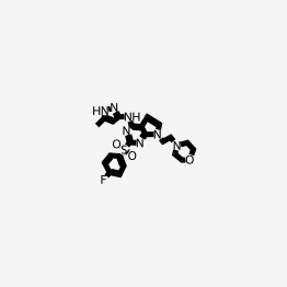 Cc1cc(Nc2nc(S(=O)(=O)c3ccc(F)cc3)nc3c2ccn3CCN2CCOCC2)n[nH]1